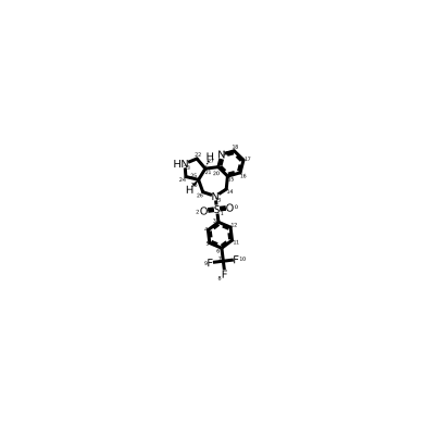 O=S(=O)(c1ccc(C(F)(F)F)cc1)N1Cc2cccnc2[C@@H]2CNC[C@H]2C1